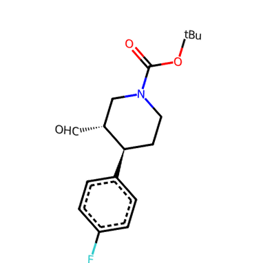 CC(C)(C)OC(=O)N1CC[C@@H](c2ccc(F)cc2)[C@H](C=O)C1